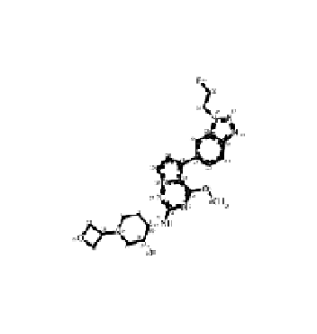 COc1nc(N[C@H]2CCN(C3COC3)C[C@H]2F)nn2ccc(-c3ccc4nnn(CCF)c4c3)c12